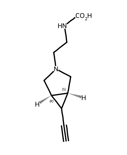 C#CC1[C@H]2CN(CCNC(=O)O)C[C@@H]12